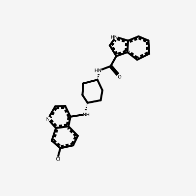 O=C(N[C@H]1CC[C@@H](Nc2ccnc3cc(Cl)ccc23)CC1)c1c[nH]c2ccccc12